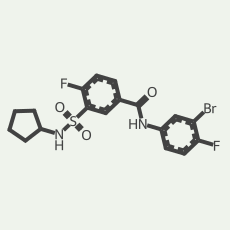 O=C(Nc1ccc(F)c(Br)c1)c1ccc(F)c(S(=O)(=O)NC2CCCC2)c1